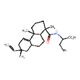 C=CC1(C)CC=C2C(CCC3C(C)(C(=O)NC(CC(C)C)C(=O)O)CCCC23C)C1